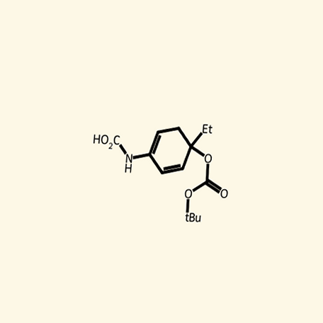 CCC1(OC(=O)OC(C)(C)C)C=CC(NC(=O)O)=CC1